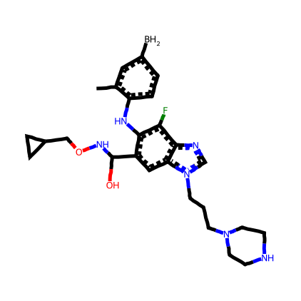 Bc1ccc(Nc2c(C(O)NOCC3CC3)cc3c(ncn3CCCN3CCNCC3)c2F)c(C)c1